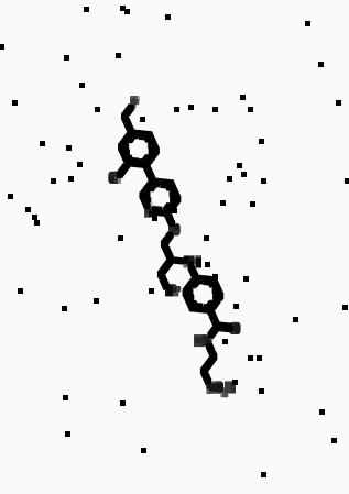 CC(C)CC(COc1ccc(-c2ccc(CF)cc2Cl)cn1)Nc1ccc(C(=O)NCCS(=O)(=O)O)cc1